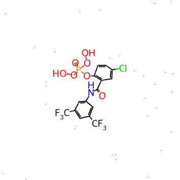 O=C(Nc1cc(C(F)(F)F)cc(C(F)(F)F)c1)c1cc(Cl)ccc1OP(=O)(OO)OO